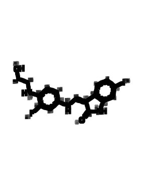 O=C1Nc2cc(F)ccc2C1=CNc1ccc(NCCO)c(F)c1